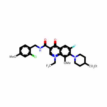 CCOC(=O)C1CCN(c2c(F)cc3c(=O)c(C(=O)NCc4ccc(OC)cc4Cl)cn(CC(F)(F)F)c3c2OC)CC1